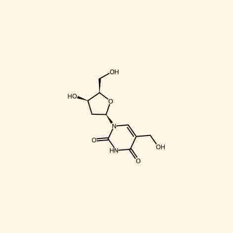 O=c1[nH]c(=O)n([C@H]2C[C@@H](O)[C@@H](CO)O2)cc1CO